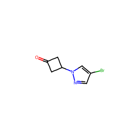 O=C1CC(n2cc(Br)cn2)C1